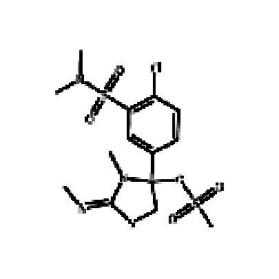 CN=C1SCC(OS(C)(=O)=O)(c2ccc(Cl)c(S(=O)(=O)N(C)C)c2)N1C